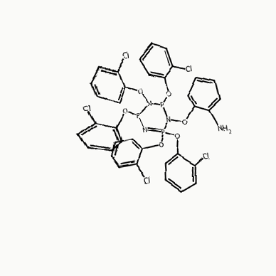 Nc1ccccc1ON1P(Oc2ccccc2Cl)N(Oc2ccccc2Cl)P(Oc2ccccc2Cl)N=P1(Oc1ccccc1Cl)Oc1ccccc1Cl